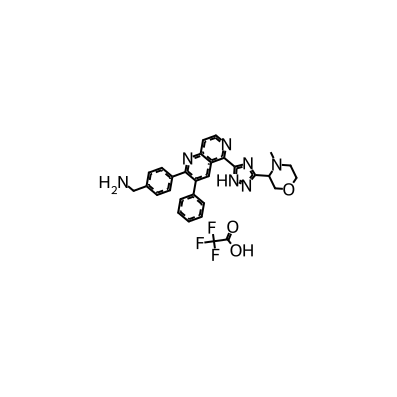 CN1CCOCC1c1n[nH]c(-c2nccc3nc(-c4ccc(CN)cc4)c(-c4ccccc4)cc23)n1.O=C(O)C(F)(F)F